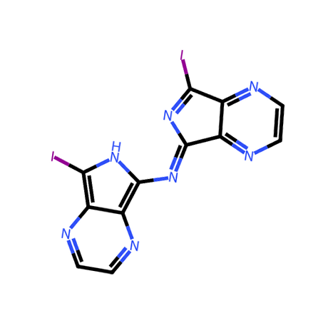 IC1=N/C(=N\c2[nH]c(I)c3nccnc23)c2nccnc21